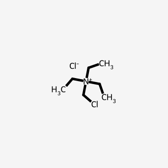 CC[N+](CC)(CC)CCl.[Cl-]